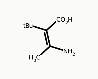 C/C(N)=C(/C(=O)O)C(C)(C)C